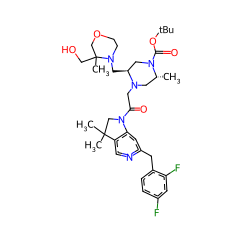 C[C@@H]1CN(CC(=O)N2CC(C)(C)c3cnc(Cc4ccc(F)cc4F)cc32)[C@@H](CN2CCOCC2(C)CO)CN1C(=O)OC(C)(C)C